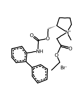 CCOC(=O)C[N+]1(C)CCC[C@H]1COC(=O)Nc1ccccc1-c1ccccc1.[Br-]